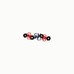 N#CC(=C\c1ccc(OC(=O)c2ccccc2)cc1)/C(C#N)=C/c1ccc(OC(=O)c2ccccc2)cc1